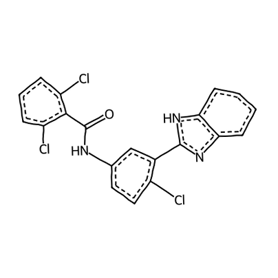 O=C(Nc1ccc(Cl)c(-c2nc3ccccc3[nH]2)c1)c1c(Cl)cccc1Cl